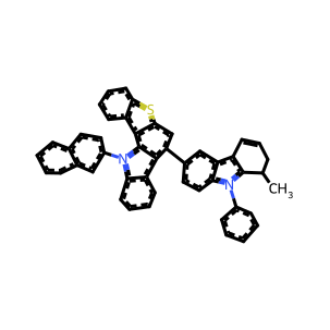 CC1CC=Cc2c1n(-c1ccccc1)c1ccc(-c3cc4sc5ccccc5c4c4c3c3ccccc3n4-c3ccc4ccccc4c3)cc21